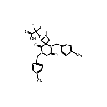 N#Cc1ccc(CN2CC(=O)N(Cc3ccc(C(F)(F)F)cc3)C3(CNC3)C2=O)cc1.O=C(O)C(F)(F)F